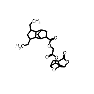 CCC1CC(CC)C2C3CC(CC3C(=O)OCC(=O)OC3C4CC5C(=O)OC3C5O4)C12